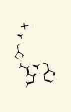 Cc1cc2nc(N[C@@H](C)c3cccnc3)nc(C(O)N3CC(CNC(=O)OC(C)(C)C)C3)c2s1